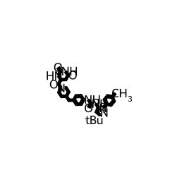 Cc1ccc(-n2nc(C(C)(C)C)cc2NC(=O)Nc2ccc(CC3CCN(C(=O)C4CC(=O)NC(=O)N4)CC3)cc2)cc1